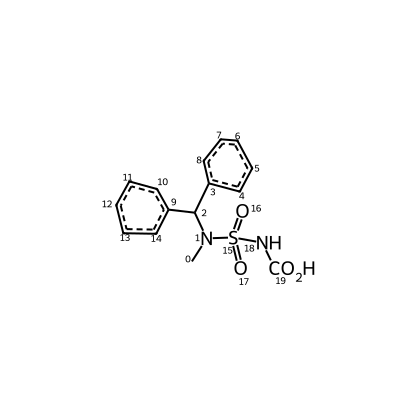 CN(C(c1ccccc1)c1ccccc1)S(=O)(=O)NC(=O)O